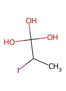 CC(I)C(O)(O)O